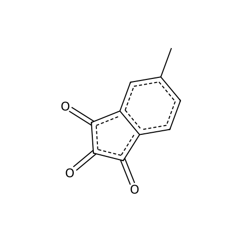 Cc1ccc2c(=O)c(=O)c(=O)c2c1